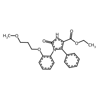 CCOC(=O)c1[nH]c(=O)n(-c2ccccc2OCCCOC)c1-c1ccccc1